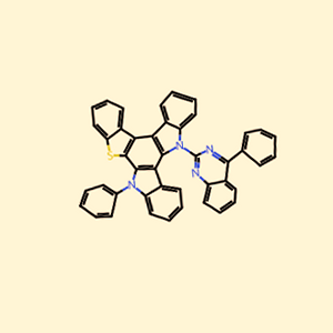 c1ccc(-c2nc(-n3c4ccccc4c4c5c6ccccc6sc5c5c(c6ccccc6n5-c5ccccc5)c43)nc3ccccc23)cc1